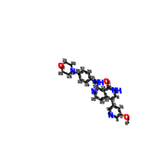 COc1cncc(-c2c[nH]c(=O)c3c(Nc4ccc(N5CCOCC5)cc4)nccc23)c1